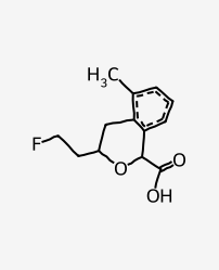 Cc1cccc2c1CC(CCF)OC2C(=O)O